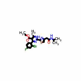 CCOC(=O)C1=C(C)NC(c2nc(CC(=O)NC(C)C)cs2)=NC1c1ccc(F)cc1Br